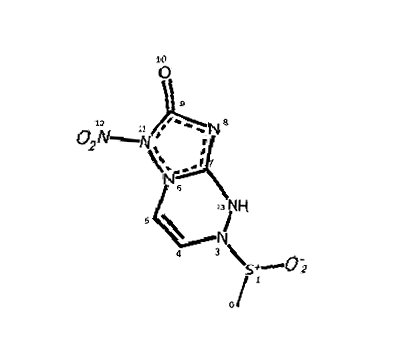 C[S+]([O-])N1C=Cn2c(nc(=O)n2[N+](=O)[O-])N1